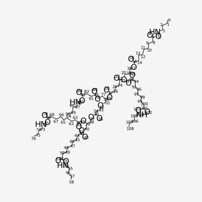 CCCCNOC(=O)CCCCCCCC(=O)OCC(COC(=O)CCCC(=O)OC(COCCC(=O)OCC(COC(=O)CCCCCCCC(=O)ONCCCC)OC(=O)CCCCCCCC(=O)ONCCCC)COC(=O)CCC(=O)ONCCCC)OC(=O)CCCCCCCC(=O)ONCCCC